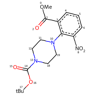 COC(=O)c1cccc([N+](=O)[O-])c1N1CCN(C(=O)OC(C)(C)C)CC1